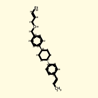 CC=Cc1ccc([C@H]2CC[C@H](c3ccc(COCC=CCC)cc3)CC2)cc1